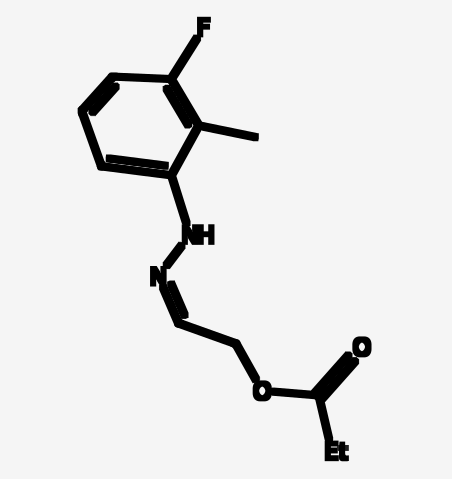 CCC(=O)OC/C=N\Nc1cccc(F)c1C